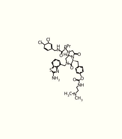 CCCN(C(=O)NCC1=CC(Cl)C(Cl)C=C1)N1CC(=O)N2[C@@H](Cc3ccc(OC(=O)NCCN(C)C)cc3)C(=O)N(Cc3cccc4sc(N)nc34)C[C@@H]21